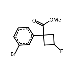 COC(=O)C1(c2cccc(Br)c2)CC(F)C1